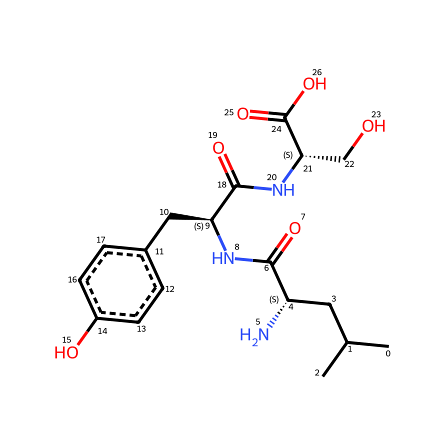 CC(C)C[C@H](N)C(=O)N[C@@H](Cc1ccc(O)cc1)C(=O)N[C@@H](CO)C(=O)O